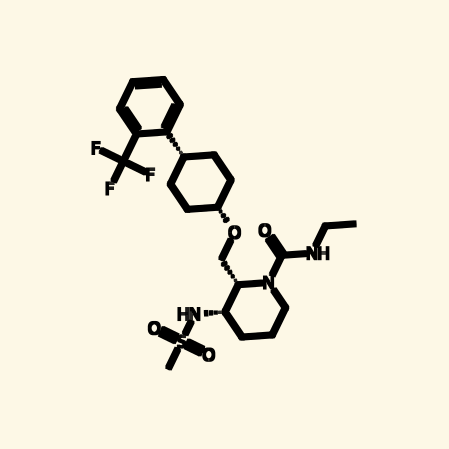 CCNC(=O)N1CCC[C@H](NS(C)(=O)=O)[C@@H]1CO[C@H]1CC[C@@H](c2ccccc2C(F)(F)F)CC1